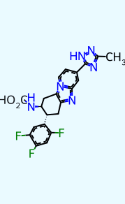 Cc1n[nH]c(-c2ccn3c4c(nc3c2)C[C@H](c2cc(F)c(F)cc2F)[C@@H](NC(=O)O)C4)n1